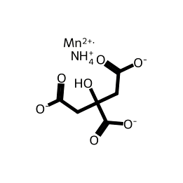 O=C([O-])CC(O)(CC(=O)[O-])C(=O)[O-].[Mn+2].[NH4+]